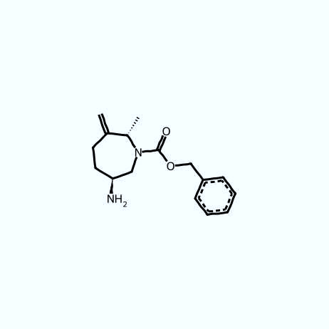 C=C1CC[C@H](N)CN(C(=O)OCc2ccccc2)[C@H]1C